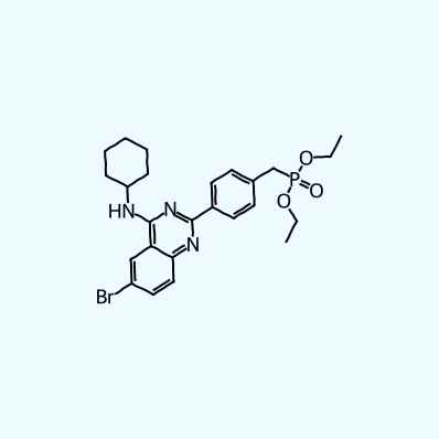 CCOP(=O)(Cc1ccc(-c2nc(NC3CCCCC3)c3cc(Br)ccc3n2)cc1)OCC